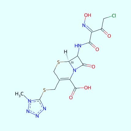 Cn1nnnc1SCC1=C(C(=O)O)N2C(=O)C(NC(=O)C(=NO)C(=O)CCl)[C@@H]2SC1